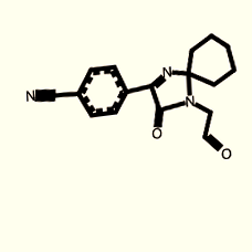 N#Cc1ccc(C2=NC3(CCCCC3)N(CC=O)C2=O)cc1